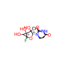 C[C@]1(O)[C@H](n2ccc(=O)[nH]c2=O)O[C@]2(F)C(O)[C@]12O